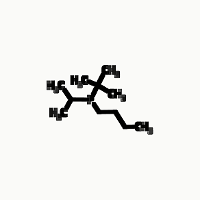 CCCCP(C(C)C)C(C)(C)C